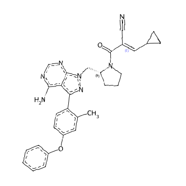 Cc1cc(Oc2ccccc2)ccc1-c1nn(C[C@H]2CCCN2C(=O)/C(C#N)=C/C2CC2)c2ncnc(N)c12